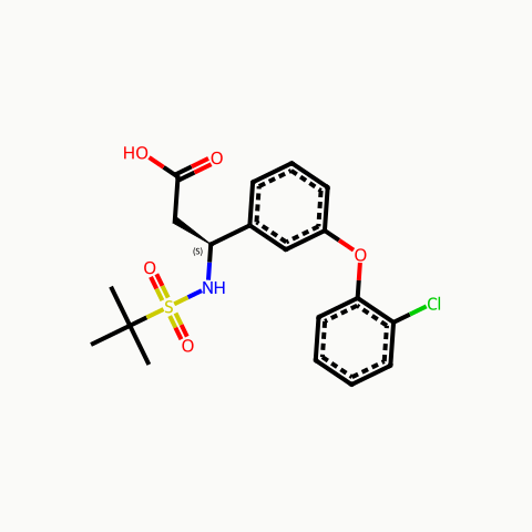 CC(C)(C)S(=O)(=O)N[C@@H](CC(=O)O)c1cccc(Oc2ccccc2Cl)c1